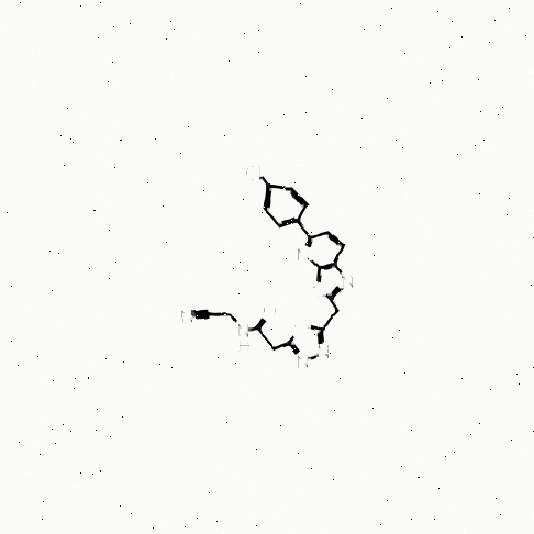 N#CCNC(=O)Cc1nnc(Cc2nc3ccc(-c4ccc(Cl)cc4)nc3s2)o1